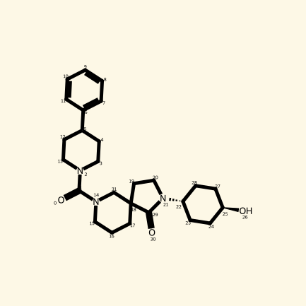 O=C(N1CCC(c2ccccc2)CC1)N1CCCC2(CCN([C@H]3CC[C@H](O)CC3)C2=O)C1